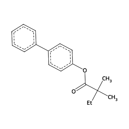 CCC(C)(C)C(=O)Oc1ccc(-c2ccccc2)cc1